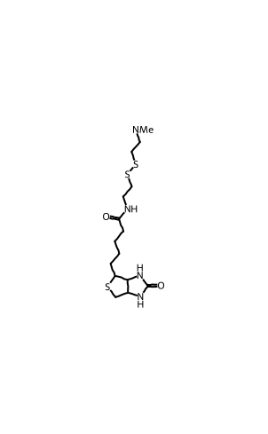 CNCCSSCCNC(=O)CCCCC1SCC2NC(=O)NC21